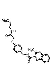 COCCNC(=O)COc1ccc(CNC(=O)c2nc3ccccc3nc2C)cc1